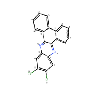 Clc1cc2nc3c4ccccc4c4ccccc4c3nc2cc1Cl